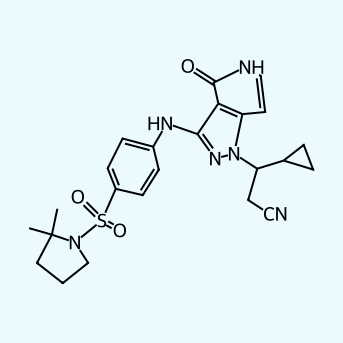 CC1(C)CCCN1S(=O)(=O)c1ccc(Nc2nn(C(CC#N)C3CC3)c3cc[nH]c(=O)c23)cc1